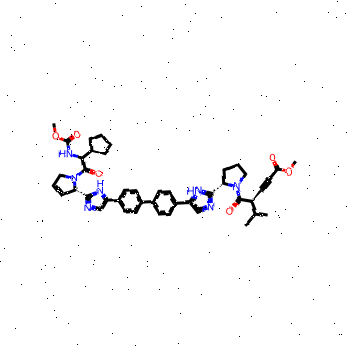 COC(=O)C#C[C@H](C(=O)N1CCC[C@H]1c1ncc(-c2ccc(-c3ccc(-c4cnc([C@@H]5C=CCN5C(=O)C(NC(=O)OC)C5CCCC5)[nH]4)cc3)cc2)[nH]1)C(C)C